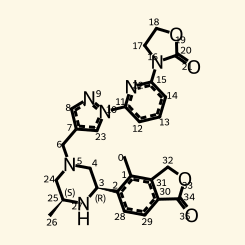 Cc1c([C@@H]2CN(Cc3cnn(-c4cccc(N5CCOC5=O)n4)c3)C[C@H](C)N2)ccc2c1COC2=O